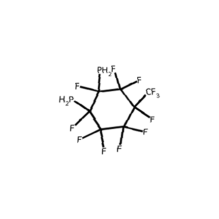 FC(F)(F)C1(F)C(F)(F)C(F)(F)C(F)(P)C(F)(P)C1(F)F